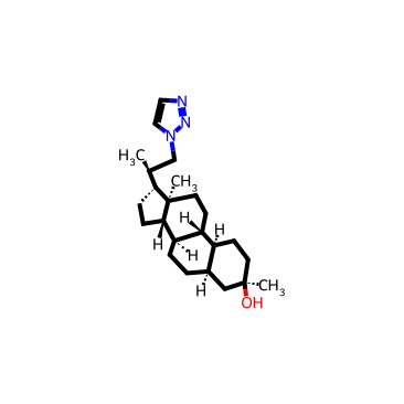 C[C@@H](Cn1ccnn1)[C@H]1CC[C@H]2[C@@H]3CC[C@@H]4C[C@](C)(O)CC[C@@H]4[C@H]3CC[C@]12C